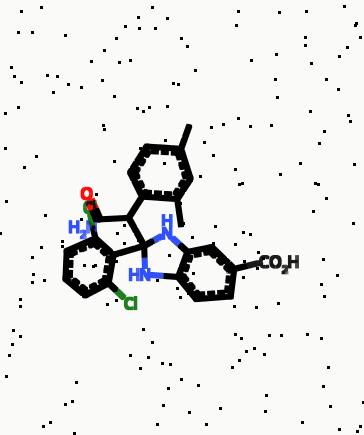 Cc1ccc(C(C(N)=O)C2(c3c(Cl)cccc3Cl)Nc3ccc(C(=O)O)cc3N2)c(C)c1